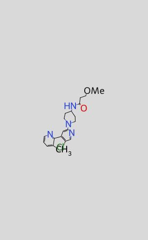 COCCC(=O)NC1CCN(c2cc(-c3ncccc3C)c(Cl)cn2)CC1